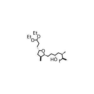 C=C(I)[C@H](C)C[C@H](O)CC[C@@H]1O[C@@H](CCC(OCC)OCC)CC1=C